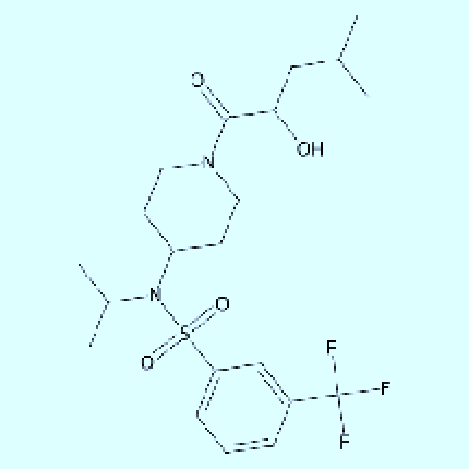 CC(C)CC(O)C(=O)N1CCC(N(C(C)C)S(=O)(=O)c2cccc(C(F)(F)F)c2)CC1